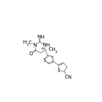 CN1C(=N)N[C@@](C)(c2cc(C3=CCC(C#N)S3)cs2)CC1=O